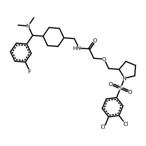 CN(C)C(c1cccc(F)c1)C1CCC(CNC(=O)COCC2CCCN2S(=O)(=O)c2ccc(Cl)c(Cl)c2)CC1